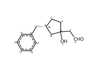 O=CCC1(O)CC[C@@H](Cc2ccccc2)C1